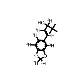 [2H]/C(=C(/[2H])C([2H])(O)C(C)(C)C)c1c([2H])c([2H])c2c(c1[2H])OC([2H])([2H])O2